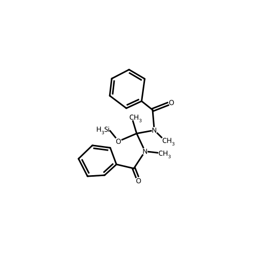 CN(C(=O)c1ccccc1)C(C)(O[SiH3])N(C)C(=O)c1ccccc1